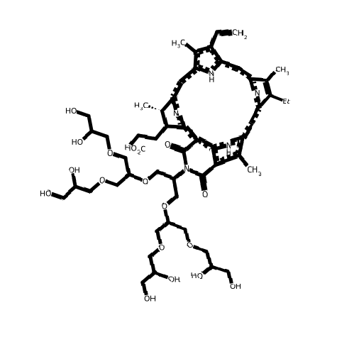 C=Cc1c(C)c2cc3nc(c4c5[nH]c(cc6nc(cc1[nH]2)C(C)=C6CC)c(C)c5C(=O)N(C(COC(COCC(O)CO)COCC(O)CO)COC(COCC(O)CO)COCC(O)CO)C4=O)C(CCC(=O)O)[C@@H]3C